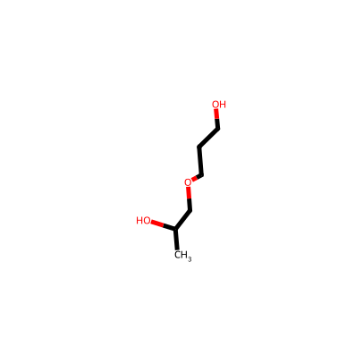 CC(O)COCCCO